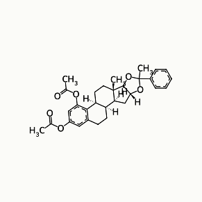 CC(=O)Oc1cc2c(c(OC(C)=O)c1)[C@H]1CC[C@]3(C)[C@@H]4OC(C)(c5ccccc5)O[C@@H]4C[C@H]3[C@H]1CC2